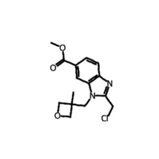 COC(=O)c1ccc2nc(CCl)n(CC3(C)COC3)c2c1